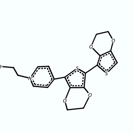 CC(C)CC[n+]1ccc(-c2sc(-c3scc4c3OCCO4)c3c2OCCO3)cc1